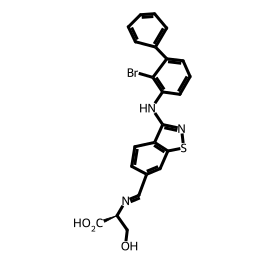 O=C(O)[C@H](CO)N=Cc1ccc2c(Nc3cccc(-c4ccccc4)c3Br)nsc2c1